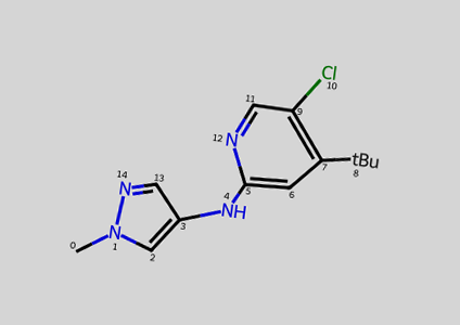 Cn1cc(Nc2cc(C(C)(C)C)c(Cl)cn2)cn1